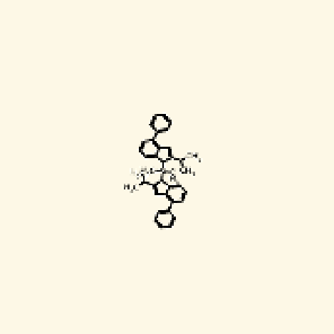 CC(C)C1=Cc2c(-c3ccccc3)cccc2C1[Si](C)(C)C1C(C(C)C)=Cc2c(-c3ccccc3)cccc21